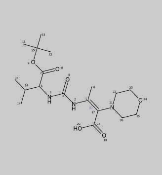 C/C(NC(=O)NC(C(=O)OC(C)(C)C)C(C)C)=C(/C(=O)O)N1CCOCC1